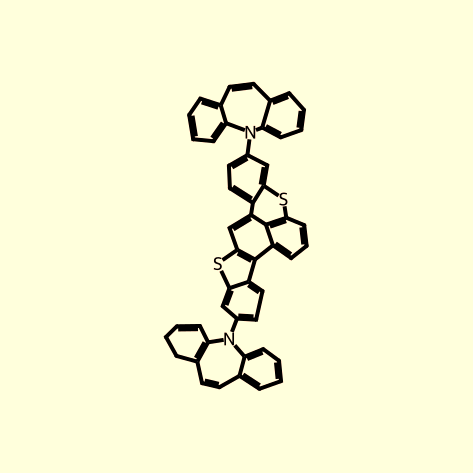 C1=CC2=C(C=Cc3ccccc3N2c2ccc3c(c2)sc2cc4c5c(cccc5c23)Sc2cc(N3c5ccccc5C=Cc5ccccc53)ccc2-4)CC1